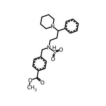 COC(=O)c1ccc(CN(CCC(c2ccccc2)N2CCCCC2)[SH](=O)=O)cc1